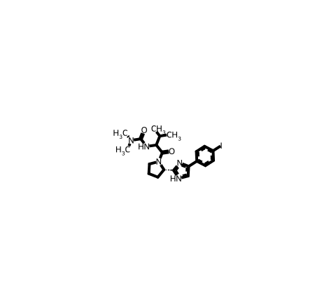 CC(C)C(NC(=O)N(C)C)C(=O)N1CCC[C@H]1c1nc(-c2ccc(I)cc2)c[nH]1